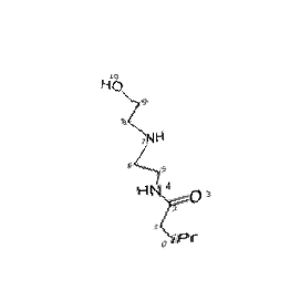 CC(C)CC(=O)NCCNCCO